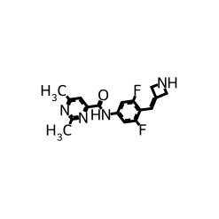 Cc1cc(C(=O)Nc2cc(F)c(C=C3CNC3)c(F)c2)nc(C)n1